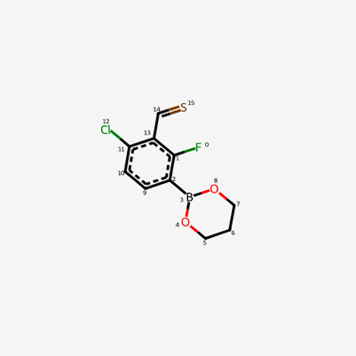 Fc1c(B2OCCCO2)ccc(Cl)c1C=S